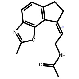 CC(=O)NC/C=C1/CCc2ccc3nc(C)oc3c21